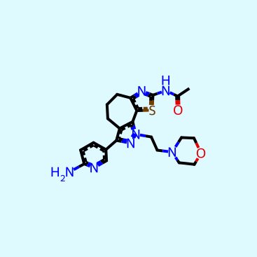 CC(=O)Nc1nc2c(s1)-c1c(c(-c3ccc(N)nc3)nn1CCN1CCOCC1)CCC2